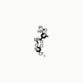 Cc1cc(C(=O)N[C@H](C)COc2ncc(C(F)(F)F)cc2Cl)cc(NC(=O)C(C)C)n1